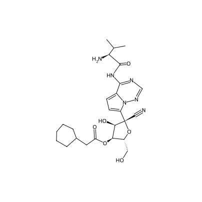 CC(C)[C@H](N)C(=O)Nc1ncnn2c([C@]3(C#N)O[C@H](CO)[C@@H](OC(=O)CC4CCCCC4)[C@H]3O)ccc12